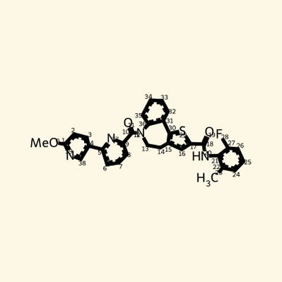 COc1ccc(-c2cccc(C(=O)N3CCc4cc(C(=O)Nc5c(C)cccc5F)sc4-c4ccccc43)n2)cn1